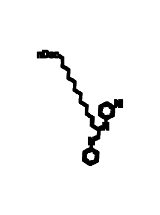 CCCCCCCCCCCCCCCCCCCC/C=C/C(/C=N/c1ccccc1)=N\c1ccccc1.[Ni]